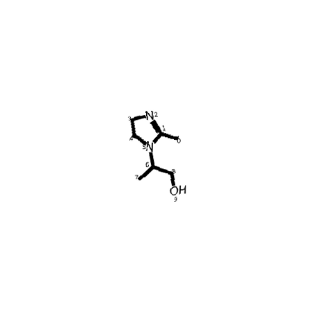 CC1=NCCN1C(C)CO